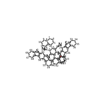 N#Cc1c(-c2cccc3ccccc23)c(C#N)c(-n2c3ccccc3c3cc4c(cc32)sc2ccccc24)c(-c2cccc3ccccc23)c1-n1c2ccccc2c2cc3c(cc21)sc1ccccc13